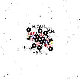 Cc1cc(C(C)C)ccc1Oc1cc2c3c(cc(Oc4ccc(C(C)C)cc4C)c4c5c(Oc6ccc(C(C)C)cc6C)cc6c7c(cc(Oc8ccc(C(C)C)cc8C)c(c1c34)c75)C(=O)N(C(C(=O)Oc1ccccc1)c1cccs1)C6=O)C(=O)N(C(C(=O)Oc1ccccc1)c1cccs1)C2=O